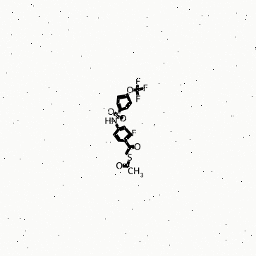 CC(=O)SCC(=O)c1ccc(NS(=O)(=O)c2ccc(OC(F)(F)F)cc2)cc1F